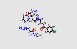 CNC(=O)CCN.NC(=O)C1(N2CCCCC2)CCN(CCCC(=O)c2ccc(F)cc2)CC1